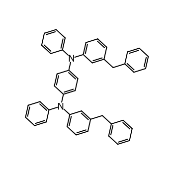 c1ccc(Cc2cccc(N(c3ccccc3)c3ccc(N(c4ccccc4)c4cccc(Cc5ccccc5)c4)cc3)c2)cc1